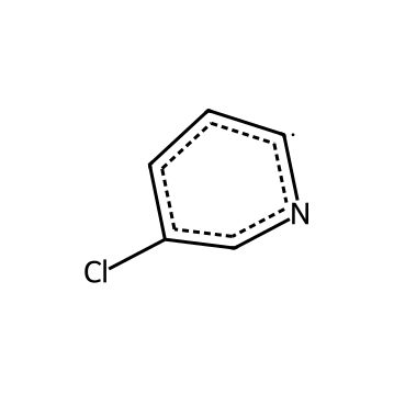 Clc1cc[c]nc1